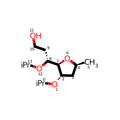 CC(C)O[C@H]1C[C@H](C)O[C@@H]1[C@@H](CCO)OC(C)C